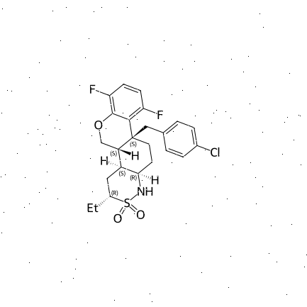 CC[C@@H]1C[C@@H]2[C@@H](CC[C@@]3(Cc4ccc(Cl)cc4)c4c(F)ccc(F)c4OC[C@@H]23)NS1(=O)=O